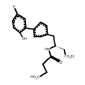 CCOC(=O)C[C@@H](Cc1ccc(-c2cc(F)ccc2O)cc1)NC(=O)CCC(=O)O